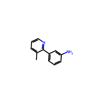 Cc1cccnc1-c1cccc(N)c1